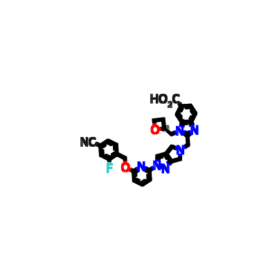 N#Cc1ccc(COc2cccc(-n3cc4c(n3)CN(Cc3nc5ccc(C(=O)O)cc5n3C[C@@H]3CCO3)C4)n2)c(F)c1